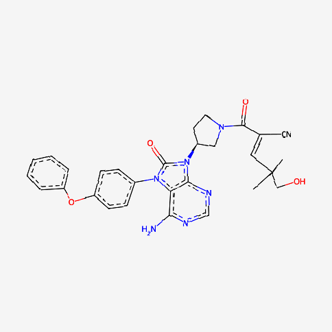 CC(C)(C=C(C#N)C(=O)N1CC[C@H](n2c(=O)n(-c3ccc(Oc4ccccc4)cc3)c3c(N)ncnc32)C1)CO